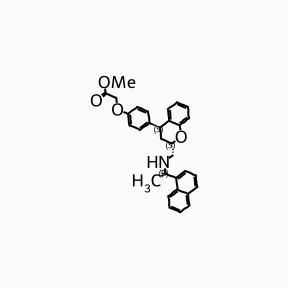 COC(=O)COc1ccc([C@@H]2C[C@@H](CN[C@H](C)c3cccc4ccccc34)Oc3ccccc32)cc1